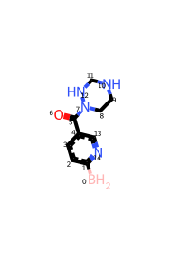 Bc1ccc(C(=O)N2CCNCN2)cn1